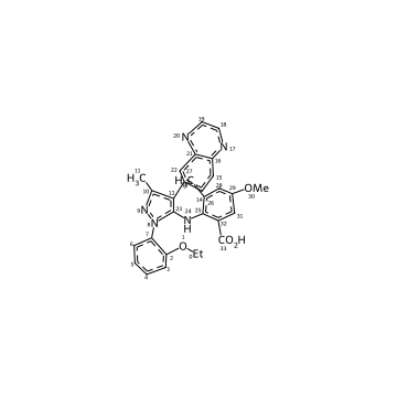 CCOc1ccccc1-n1nc(C)c(-c2ccc3nccnc3c2)c1Nc1c(C)cc(OC)cc1C(=O)O